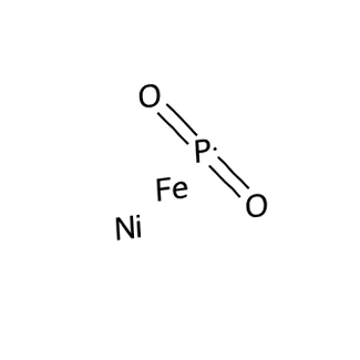 O=[P]=O.[Fe].[Ni]